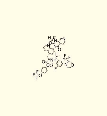 Cc1cc(N2CCOC[C@@H]2C(F)(F)F)cc(F)c1C(=O)N[C@@H](Cc1ccc(-n2c(=O)c3ccncc3n(C)c2=O)c2ncccc12)C(=O)Oc1ccc(OC(F)(F)F)cc1